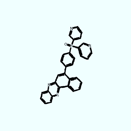 O=P(c1ccc(-c2cc3nc4ccccc4nc3c3ccccc23)cc1)(c1cccnc1)c1cccnc1